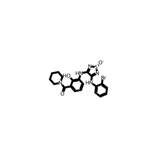 O=C(c1cccc(Nc2n[s+]([O-])nc2Nc2ccccc2Br)c1O)N1CCCCC1